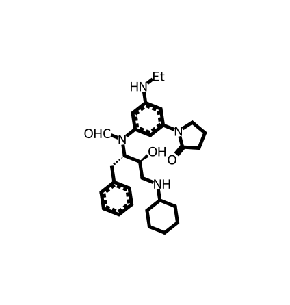 CCNc1cc(N2CCCC2=O)cc(N(C=O)[C@@H](Cc2ccccc2)[C@@H](O)CNC2CCCCC2)c1